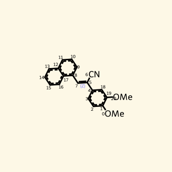 COc1ccc(/C(C#N)=C/c2cccc3ccccc23)cc1OC